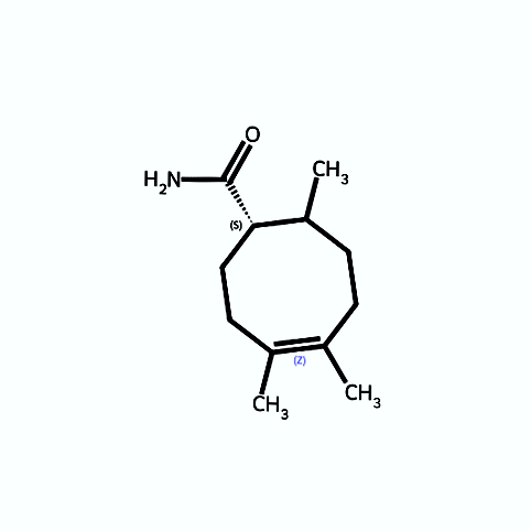 C/C1=C(\C)CC[C@H](C(N)=O)C(C)CC1